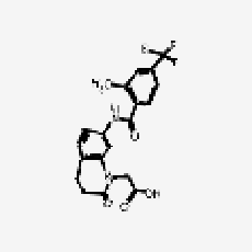 Cc1cc(C(F)(F)F)ccc1C(=O)Nc1ccc2c(c1)N(CC(=O)O)C(=O)CC2